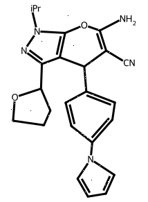 CC(C)n1nc(C2CCCO2)c2c1OC(N)=C(C#N)C2c1ccc(-n2cccc2)cc1